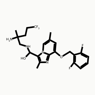 Cc1cc(OCc2c(F)cccc2F)c2nc(C)c(C(O)NCC(C)(N)CCC(F)(F)F)n2c1